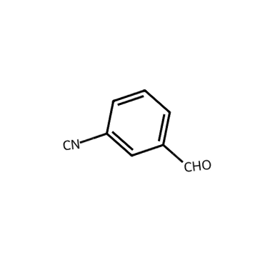 [C-]#[N+]c1cccc(C=O)c1